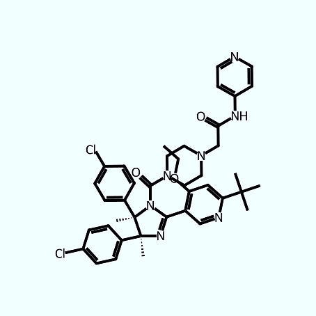 CCOc1cc(C(C)(C)C)ncc1C1=N[C@@](C)(c2ccc(Cl)cc2)[C@@](C)(c2ccc(Cl)cc2)N1C(=O)N1CCN(CC(=O)Nc2ccncc2)CC1